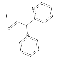 O=CC(c1ccccn1)[n+]1ccccc1.[I-]